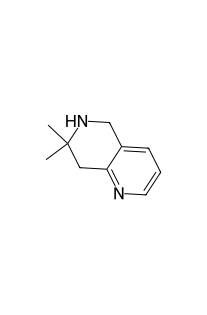 CC1(C)Cc2ncccc2CN1